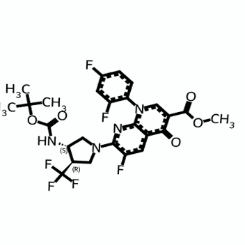 COC(=O)c1cn(-c2ccc(F)cc2F)c2nc(N3C[C@@H](C(F)(F)F)[C@H](NC(=O)OC(C)(C)C)C3)c(F)cc2c1=O